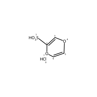 Cl.O=S(=O)(O)C1=COC=CO1